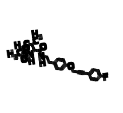 CC(C)C(NS(C)(=O)=O)C(=O)NCCc1ccc(OCC#Cc2ccc(F)cc2)cc1